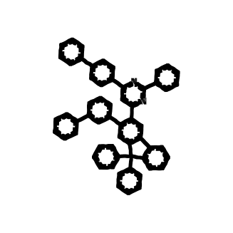 c1ccc(-c2ccc(-c3cc(-c4cc5c(cc4-c4cccc(-c6ccccc6)c4)C(c4ccccc4)(c4ccccc4)c4ccccc4-5)nc(-c4ccccc4)n3)cc2)cc1